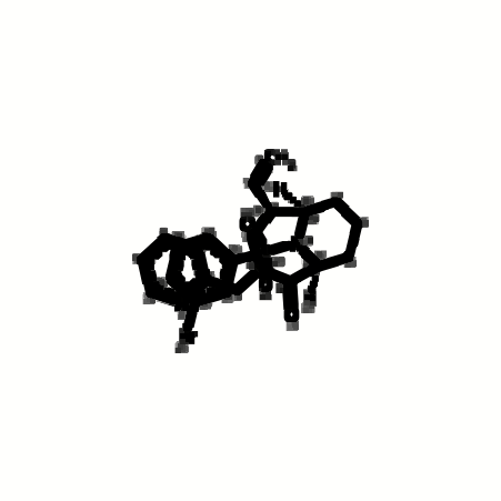 C=C[C@@H]1CN(Cc2ccccn2)C(=O)[C@@H]2CCC[C@H]1N2S(=O)(=O)c1cccc(Br)c1